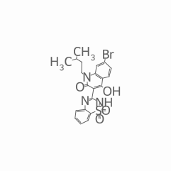 CC(C)CCn1c(=O)c(C2=Nc3ccccc3S(=O)(=O)N2)c(O)c2ccc(Br)cc21